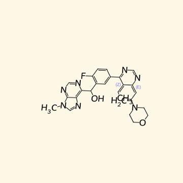 C=C(/C=c1/ncnc(-c2ccc(F)c(C(O)c3ncnc4c3ncn4C)c2)/c1=C/C)N1CCOCC1